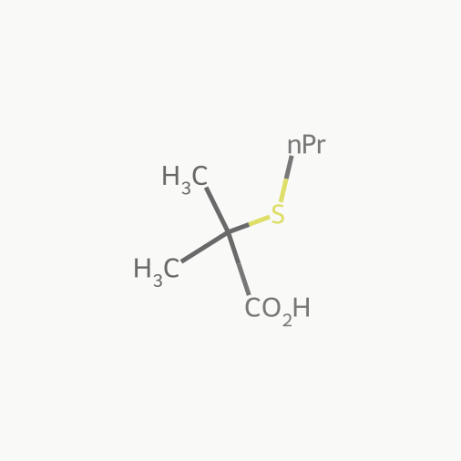 CCCSC(C)(C)C(=O)O